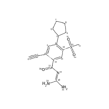 C#Cc1cc(C2CCCC2)c(S(C)(=O)=O)cc1C(=O)N=C(N)N